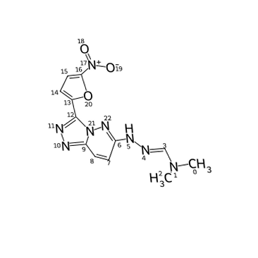 CN(C)C=NNc1ccc2nnc(-c3ccc([N+](=O)[O-])o3)n2n1